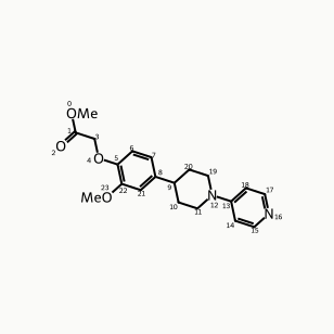 COC(=O)COc1ccc(C2CCN(c3ccncc3)CC2)cc1OC